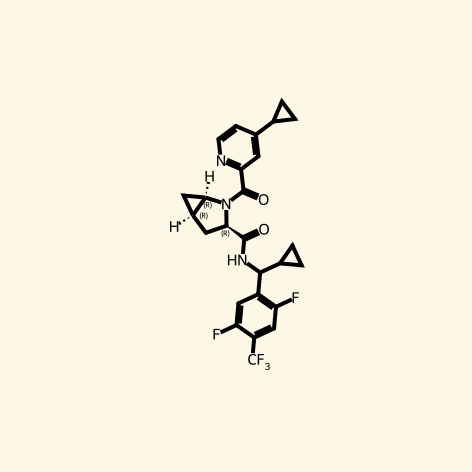 O=C(NC(c1cc(F)c(C(F)(F)F)cc1F)C1CC1)[C@H]1C[C@H]2C[C@H]2N1C(=O)c1cc(C2CC2)ccn1